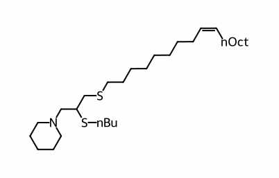 CCCCCCCC/C=C\CCCCCCCCSCC(CN1CCCCC1)SCCCC